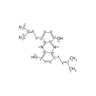 CC(C)=CCc1ccc(O)c2nc3c(CC=C(C)C)ccc(O)c3nc12